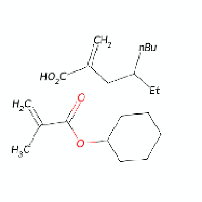 C=C(C)C(=O)OC1CCCCC1.C=C(CC(CC)CCCC)C(=O)O